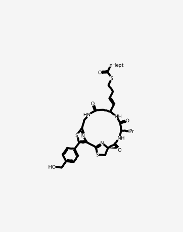 CCCCCCCC(=O)SCC/C=C/C1CC(=O)NCc2nc(c(-c3ccc(CO)cc3)s2)C2=N[C@@](C)(CS2)C(=O)NC(C(C)C)C(=O)N1